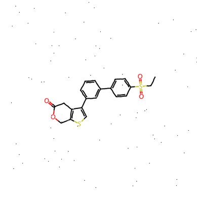 CCS(=O)(=O)c1ccc(-c2cccc(-c3csc4c3CC(=O)OC4)c2)cc1